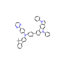 CC1(C)c2ccccc2-c2ccc(N(c3ccc(-c4ccc5c(c4)c4cc6c(ccn6-c6ccccc6)cc4n5-c4ccccc4)cc3)c3ccc(-c4ncccn4)cc3)cc21